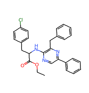 CCOC(=O)C(Cc1ccc(Cl)cc1)Nc1ncc(-c2ccccc2)nc1Cc1ccccc1